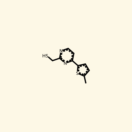 Cc1ccc(-c2ccnc(CS)n2)s1